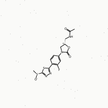 CC(=O)NC[C@H]1CN(c2ccc(-c3nnc([S+](C)[O-])s3)c(F)c2)C(=O)O1